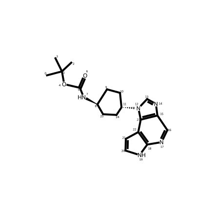 CC(C)(C)OC(=O)N[C@H]1CC[C@H](n2cnc3cnc4[nH]ccc4c32)CC1